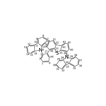 c1ccc(-n2c3ccccc3c3ccccc32)c(-c2cccc3c2sc2c(-n4c5ccccc5c5ccccc54)cccc23)c1